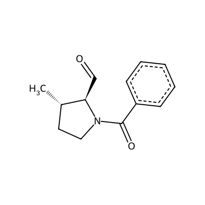 C[C@H]1CCN(C(=O)c2ccccc2)[C@@H]1C=O